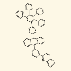 c1ccc(-c2cc(-c3ccc(-c4c5ccccc5c(-c5cccc(-c6ccc7ccccc7n6)c5)c5ccccc45)cc3)c(-c3ccccc3)c(-c3ccccc3)c2-c2ccccc2)cc1